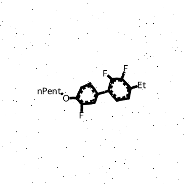 CCCCCOc1ccc(-c2ccc(CC)c(F)c2F)cc1F